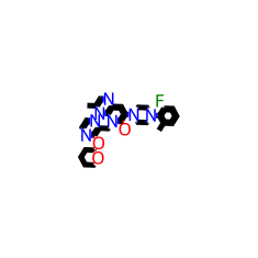 Cc1cnc2cc(N3CCN(c4c(C)cccc4F)CC3)c(=O)n(Cc3nccnc3OC3CCCCO3)c2n1